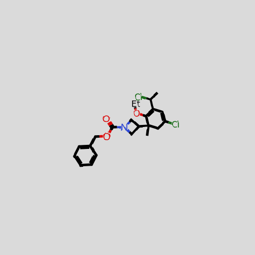 CCOC1=C(C(C)Cl)C=C(Cl)CC1(C)C1CN(C(=O)OCc2ccccc2)C1